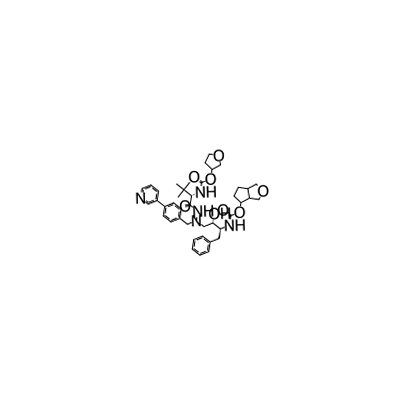 CC(C)(C)[C@H](NC(=O)OC1CCOC1)C(=O)NN(Cc1ccc(-c2cccnc2)cc1)C[C@H](O)[C@H](Cc1ccccc1)NC(=O)OC1CCC2COCC21